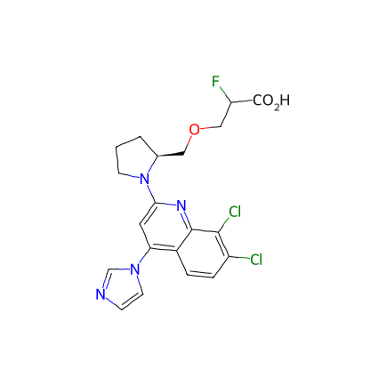 O=C(O)C(F)COC[C@@H]1CCCN1c1cc(-n2ccnc2)c2ccc(Cl)c(Cl)c2n1